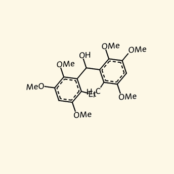 CCc1c(OC)cc(OC)c(OC)c1C(O)c1c(C)c(OC)cc(OC)c1OC